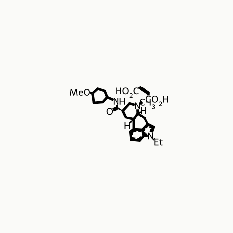 CCn1cc2c3c(cccc31)[C@@H]1C[C@@H](C(=O)NC3CCC(OC)CC3)CN(C)[C@@H]1C2.O=C(O)/C=C\C(=O)O